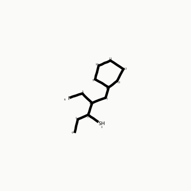 CCC(S)C(CI)CC1CCCCC1